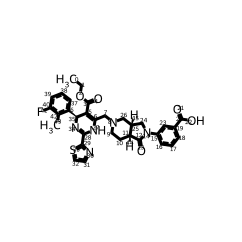 CCOC(=O)C1=C(CN2CC[C@H]3C(=O)N(c4cccc(C(=O)O)c4)C[C@H]3C2)NC(c2nccs2)=N[C@H]1c1cccc(F)c1C